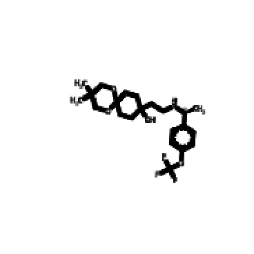 C[C@H](NCCC1(O)CCC2(CC1)OCC(C)(C)CO2)c1ccc(OC(F)(F)F)cc1